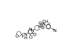 CN(c1ccc(C#N)cc1)S(=O)(=O)N1CCC(n2ncc(NCC3(F)CCCOC3)c(Cl)c2=O)CC1